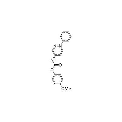 COc1ccc(OC(=O)N=c2ccn(-c3ccccc3)nc2)cc1